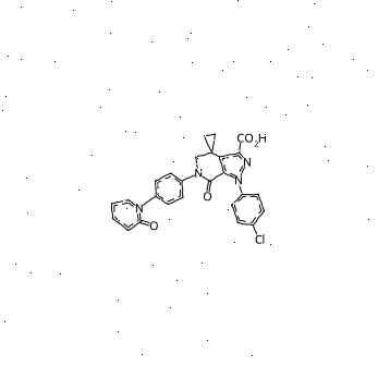 O=C(O)c1nn(-c2ccc(Cl)cc2)c2c1C1(CC1)CN(c1ccc(-n3ccccc3=O)cc1)C2=O